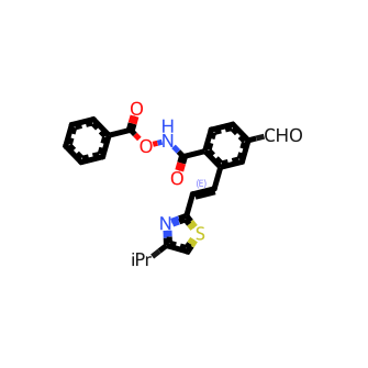 CC(C)c1csc(/C=C/c2cc(C=O)ccc2C(=O)NOC(=O)c2ccccc2)n1